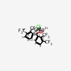 C[Si]([O-])(c1cccc(C(F)(F)F)c1C(F)(F)F)c1cccc(C(F)(F)F)c1C(F)(F)F.[Cl-].[Mg+2]